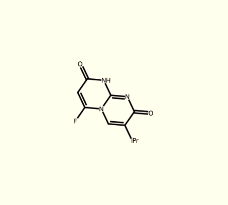 CC(C)c1cn2c(F)cc(=O)[nH]c2nc1=O